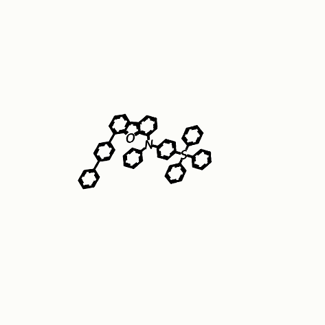 c1ccc(-c2ccc(-c3cccc4c3oc3c(N(c5ccccc5)c5ccc(S(c6ccccc6)(c6ccccc6)c6ccccc6)cc5)cccc34)cc2)cc1